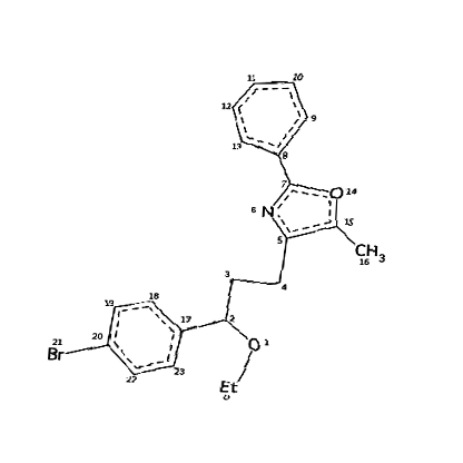 CCOC(CCc1nc(-c2ccccc2)oc1C)c1ccc(Br)cc1